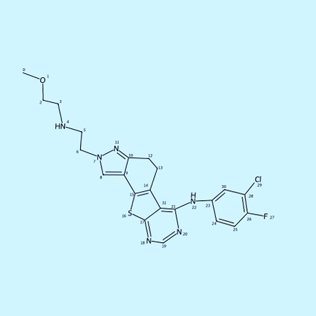 COCCNCCn1cc2c(n1)CCc1c-2sc2ncnc(Nc3ccc(F)c(Cl)c3)c12